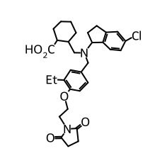 CCc1cc(CN(CC2CCCCC2C(=O)O)C2CCc3cc(Cl)ccc32)ccc1OCCN1C(=O)CCC1=O